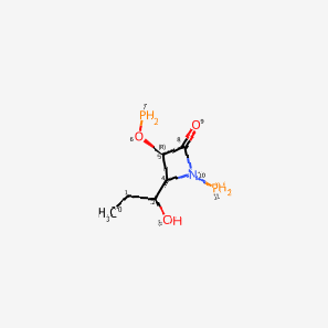 CCC(O)C1[C@@H](OP)C(=O)N1P